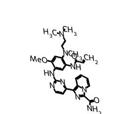 C=CC(=O)Nc1cc(Nc2nccc(-c3nc(C(N)=O)n4ccccc34)n2)c(OC)cc1N(C)CCN(C)C